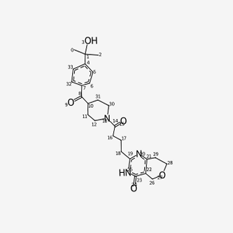 CC(C)(O)c1ccc(C(=O)C2CCN(C(=O)CCCc3nc4c(c(=O)[nH]3)COCC4)CC2)cc1